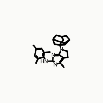 Cc1cc(C)c(Nc2nc(C)c3c(n2)N(C24CC5CC(CC(C5)C2)C4)CC3)c(C)c1